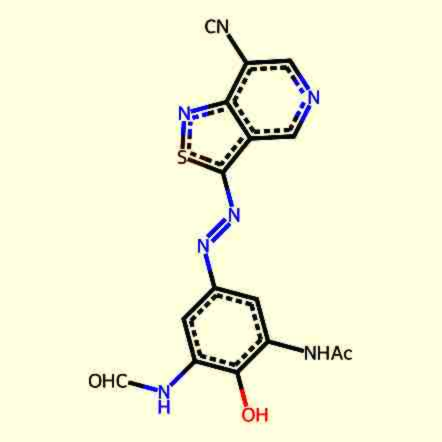 [C-]#[N+]c1cncc2c(/N=N/c3cc(NC=O)c(O)c(NC(C)=O)c3)snc12